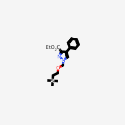 CCOC(=O)c1nn(COCC[Si](C)(C)C)cc1-c1ccccc1